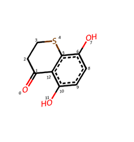 O=C1CCSc2c(O)ccc(O)c21